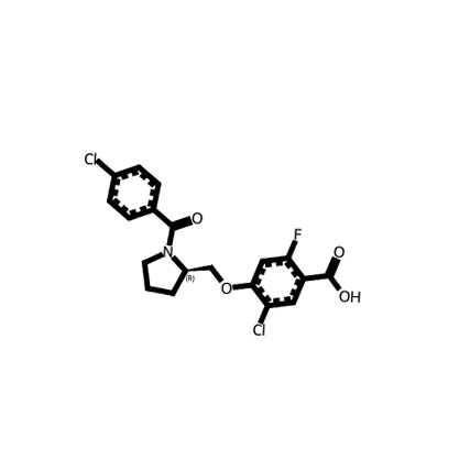 O=C(O)c1cc(Cl)c(OC[C@H]2CCCN2C(=O)c2ccc(Cl)cc2)cc1F